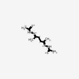 C/C(CC/C(C)=N/NC(N)=S)=N\NC(N)=S